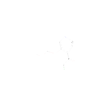 COCOc1cnccc1C(=O)CCl